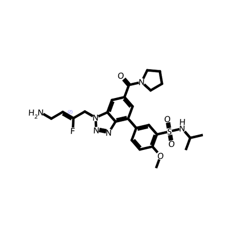 COc1ccc(-c2cc(C(=O)N3CCCC3)cc3c2nnn3C/C(F)=C/CN)cc1S(=O)(=O)NC(C)C